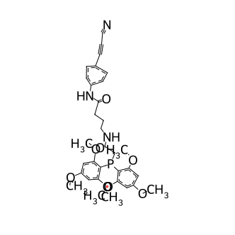 COc1cc(OC)c(P(CC(=O)NCCCC(=O)Nc2ccc(C#CC#N)cc2)c2c(OC)cc(OC)cc2OC)c(OC)c1